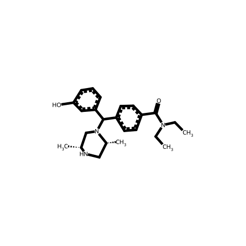 CCN(CC)C(=O)c1ccc(C(c2cccc(O)c2)N2C[C@@H](C)NC[C@H]2C)cc1